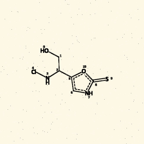 OCC(NCl)c1c[nH]c(=S)o1